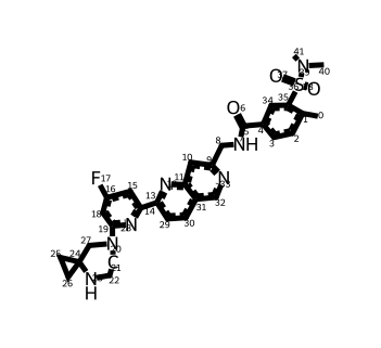 Cc1ccc(C(=O)NCc2cc3nc(-c4cc(F)cc(N5CCNC6(CC6)C5)n4)ccc3cn2)cc1S(=O)(=O)N(C)C